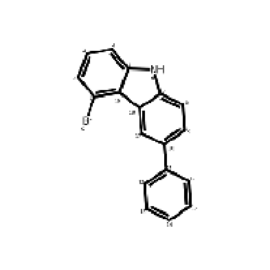 Brc1cccc2[nH]c3ccc(-c4ccccc4)cc3c12